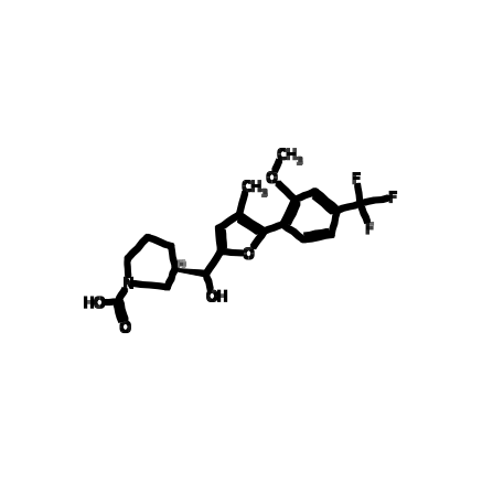 COc1cc(C(F)(F)F)ccc1-c1oc(C(O)[C@@H]2CCCN(C(=O)O)C2)cc1C